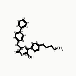 CCCCCc1ccc(C2=NC(Cc3ccc(-c4ccccc4)cc3)C(=O)N=C2O)cc1